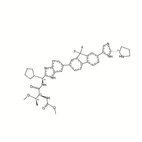 COC(=O)N[C@H](C(=O)N[C@H](c1nc2ccc(-c3ccc4c(c3)C(F)(F)c3cc(-c5cnc([C@@H]6CCCN6)[nH]5)ccc3-4)cc2[nH]1)C1CCCC1)[C@@H](C)OC